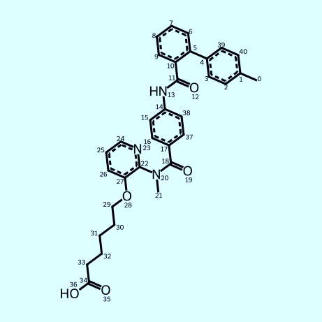 Cc1ccc(-c2ccccc2C(=O)Nc2ccc(C(=O)N(C)c3ncccc3OCCCCCC(=O)O)cc2)cc1